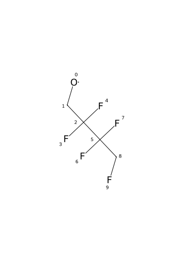 [O]CC(F)(F)C(F)(F)CF